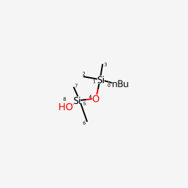 CCCC[Si](C)(C)O[Si](C)(C)O